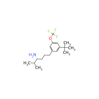 CC(C)[C@H](N)CCCc1cc(OC(F)(F)F)cc(C(C)(C)C)c1